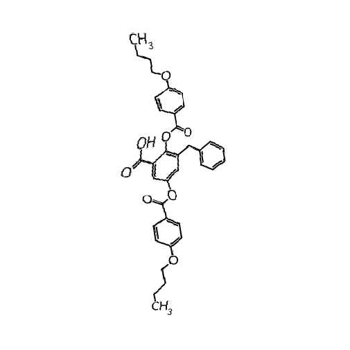 CCCCOc1ccc(C(=O)Oc2cc(Cc3ccccc3)c(OC(=O)c3ccc(OCCCC)cc3)c(C(=O)O)c2)cc1